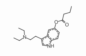 CCCC(=O)Oc1ccc2[nH]cc(CCN(CC)CC)c2c1